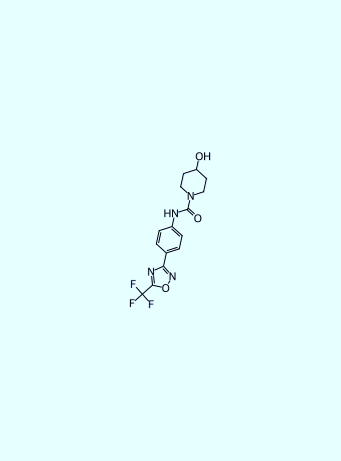 O=C(Nc1ccc(-c2noc(C(F)(F)F)n2)cc1)N1CCC(O)CC1